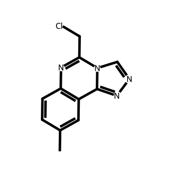 Cc1ccc2nc(CCl)n3cnnc3c2c1